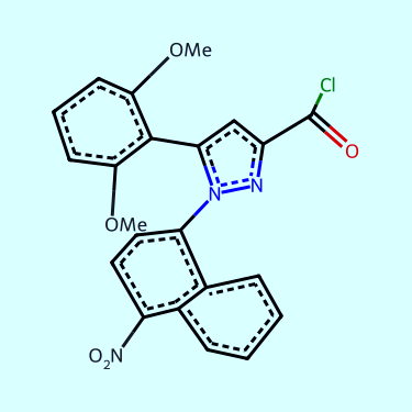 COc1cccc(OC)c1-c1cc(C(=O)Cl)nn1-c1ccc([N+](=O)[O-])c2ccccc12